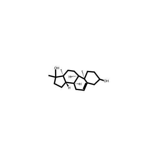 CC1(O)CC[C@H]2[C@@H]3CC=C4CC(O)CC[C@]4(C)[C@@H]3CC[C@@]21C